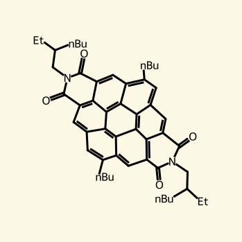 CCCCc1cc2cc3c(=O)n(CC(CC)CCCC)c(=O)c4cc5c(CCCC)cc6cc7c(=O)n(CC(CC)CCCC)c(=O)c8cc1c1c2c(c34)c5c6c1c78